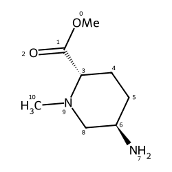 COC(=O)[C@@H]1CC[C@@H](N)CN1C